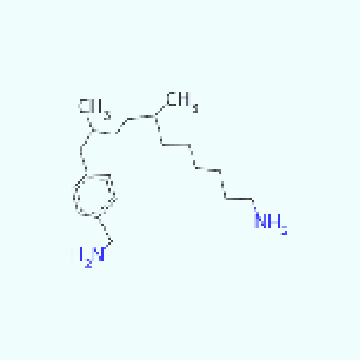 CC(CCCCCCN)CCC(C)Cc1ccc(CN)cc1